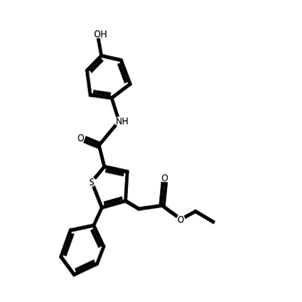 CCOC(=O)Cc1cc(C(=O)Nc2ccc(O)cc2)sc1-c1ccccc1